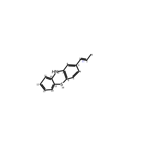 C/C=C/c1ccc2c(c1)Nc1ccccc1S2